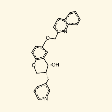 O[C@H]1c2cc(OCc3ccc4ccccc4n3)ccc2OC[C@H]1Cc1cccnc1